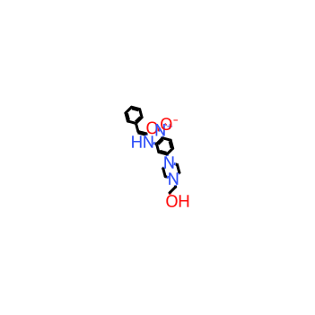 O=[N+]([O-])c1ccc(N2CCN(CCO)CC2)cc1NC=Cc1ccccc1